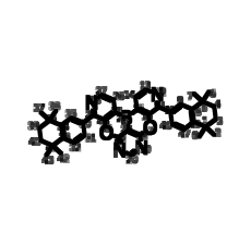 CC1(C)CCC(C)(C)c2cc(-c3nccc4c3Oc3ncnc5c3B4c3ccnc(-c4ccc6c(c4)C(C)(C)CCC6(C)C)c3O5)ccc21